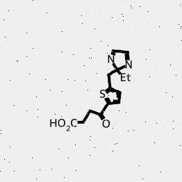 CCC1(Cc2ccc(C(=O)CCC(=O)O)s2)N=CC=N1